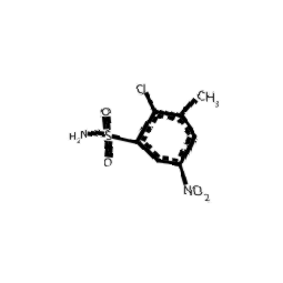 Cc1cc([N+](=O)[O-])cc(S(N)(=O)=O)c1Cl